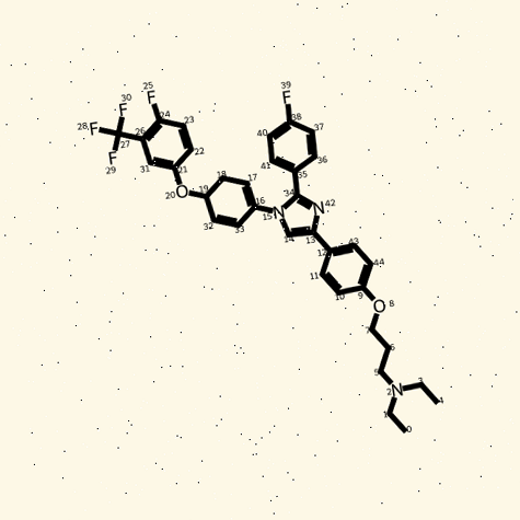 CCN(CC)CCCOc1ccc(-c2cn(C3=CCC(Oc4ccc(F)c(C(F)(F)F)c4)C=C3)c(-c3ccc(F)cc3)n2)cc1